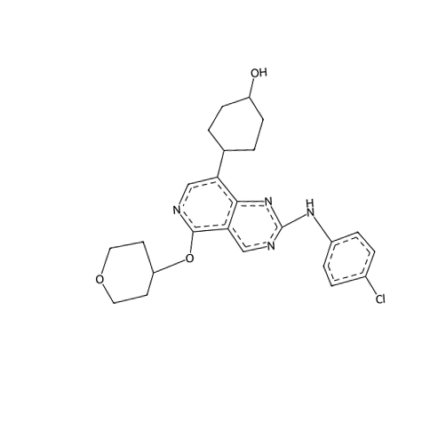 OC1CCC(c2cnc(OC3CCOCC3)c3cnc(Nc4ccc(Cl)cc4)nc23)CC1